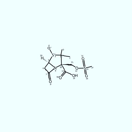 CC1(C)[S+]([O-])[C@@H]2CC(=O)N2[C@@]1(COS(C)(=O)=O)C(=O)O